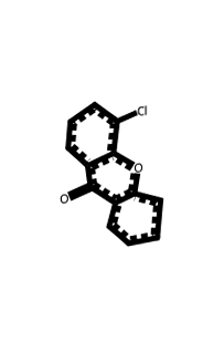 O=c1c2ccccc2oc2c(Cl)cccc12